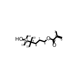 C=C(C)C(=O)OCCCC(C)(C)[Si](C)(C)O